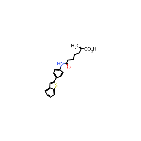 C=C(CCCCC(=O)Nc1ccc(-c2cc3ccccc3s2)cc1)C(=O)O